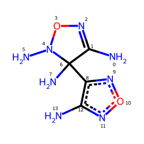 NC1=NON(N)C1(N)c1nonc1N